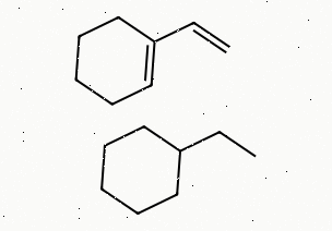 C=CC1=CCCCC1.CCC1CCCCC1